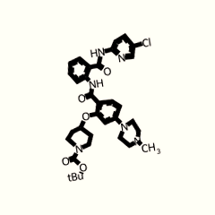 CN1CCN(c2ccc(C(=O)Nc3ccccc3C(=O)Nc3ccc(Cl)cn3)c(OC3CCN(C(=O)OC(C)(C)C)CC3)c2)CC1